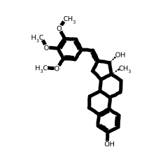 COc1cc(/C=C2\CC3C4CCc5cc(O)ccc5C4CC[C@]3(C)[C@H]2O)cc(OC)c1OC